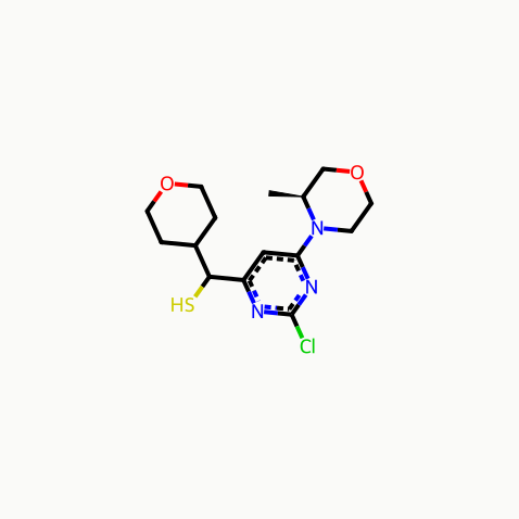 C[C@H]1COCCN1c1cc(C(S)C2CCOCC2)nc(Cl)n1